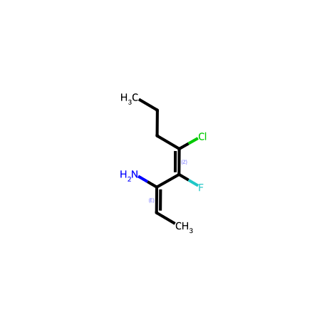 C/C=C(N)\C(F)=C(\Cl)CCC